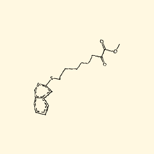 COC(=O)C(=O)CCCCCCSc1ccc2ccccc2c1